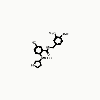 COc1ccc(CNC(=O)c2cc(C#N)ccc2N(C=O)C2CCNC2)cc1OC